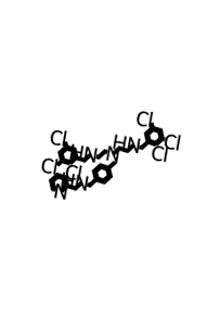 Clc1cc(Cl)c(Cl)c(CNCCN(CCNCc2cc(Cl)cc(Cl)c2Cl)Cc2ccc(CNCc3ccccn3)cc2)c1